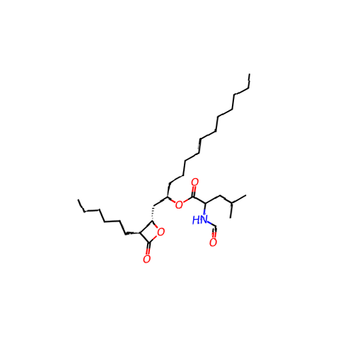 CCCCCCCCCCC[C@H](C[C@@H]1OC(=O)[C@H]1CCCCCC)OC(=O)C(CC(C)C)NC=O